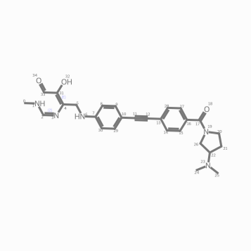 CN/C=N\C(CNc1ccc(C#Cc2ccc(C(=O)N3CCC(N(C)C)C3)cc2)cc1)=C(\O)C=O